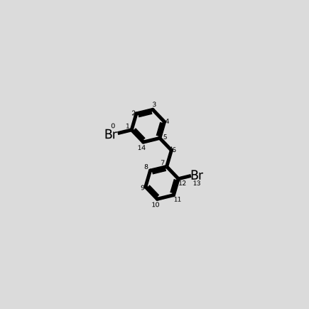 Brc1cccc([CH]c2ccccc2Br)c1